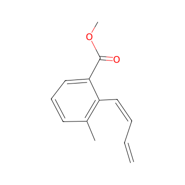 C=C/C=C\c1c(C)cccc1C(=O)OC